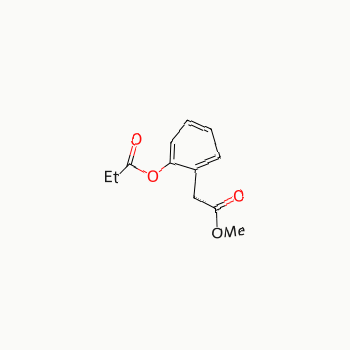 [CH2]CC(=O)Oc1ccccc1CC(=O)OC